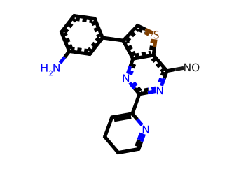 Nc1cccc(-c2csc3c(N=O)nc(C4=CCCC=N4)nc23)c1